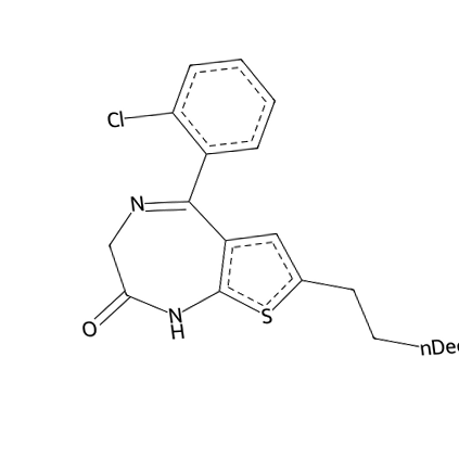 CCCCCCCCCCCCc1cc2c(s1)NC(=O)CN=C2c1ccccc1Cl